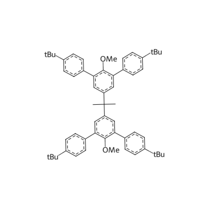 COc1c(-c2ccc(C(C)(C)C)cc2)cc(C(C)(C)c2cc(-c3ccc(C(C)(C)C)cc3)c(OC)c(-c3ccc(C(C)(C)C)cc3)c2)cc1-c1ccc(C(C)(C)C)cc1